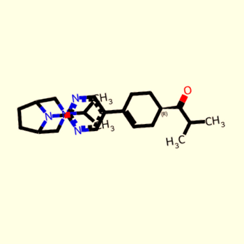 CC(C)C(=O)[C@H]1CC=C(c2cnc(N3C4CCC3CN(C(C)C)C4)nc2)CC1